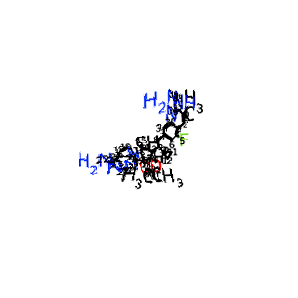 Cc1cc2c(F)cc(CC(C3CC3)C3[C@H](C)C(n4ccc5c(N)ncnc54)[C@@H]4OC(C)(C)O[C@H]34)cc2nc1NN